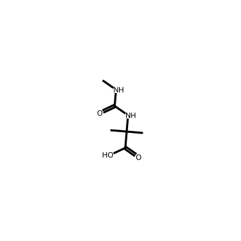 CNC(=O)NC(C)(C)C(=O)O